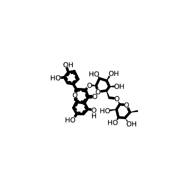 C[C@@H]1O[C@@H](OC[C@H]2O[C@@H](Oc3c(-c4ccc(O)c(O)c4)oc4cc(O)cc(O)c4c3=O)[C@H](O)[C@@H](O)[C@H]2O)[C@H](O)[C@H](O)[C@H]1O